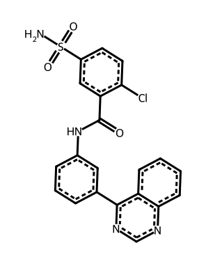 NS(=O)(=O)c1ccc(Cl)c(C(=O)Nc2cccc(-c3ncnc4ccccc34)c2)c1